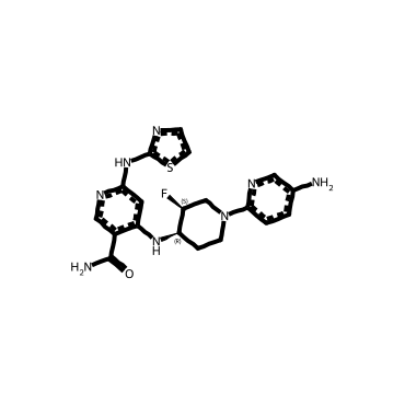 NC(=O)c1cnc(Nc2nccs2)cc1N[C@@H]1CCN(c2ccc(N)cn2)C[C@@H]1F